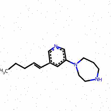 CCC/C=C/c1cncc(N2CCCNCC2)c1